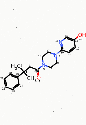 CC(C)(CC(=O)N1CCN(c2ccc(O)cn2)CC1)c1ccccc1